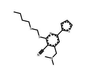 CCCCSCSc1nc(-c2cccs2)cc(CN(C)C)c1C#N